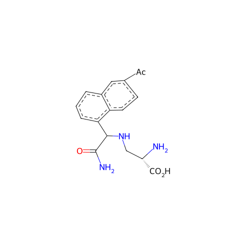 CC(=O)c1ccc2c(C(NC[C@H](N)C(=O)O)C(N)=O)cccc2c1